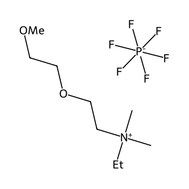 CC[N+](C)(C)CCOCCOC.F[P-](F)(F)(F)(F)F